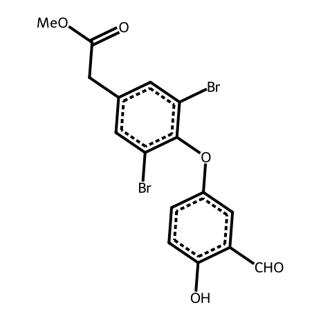 COC(=O)Cc1cc(Br)c(Oc2ccc(O)c(C=O)c2)c(Br)c1